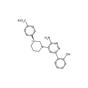 CCOC(=O)c1ccc([C@@H]2CCCN(c3cc(-c4ccccc4O)nnc3N)C2)cc1